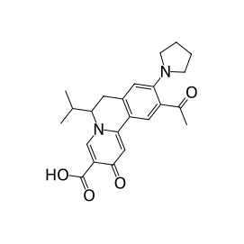 CC(=O)c1cc2c(cc1N1CCCC1)CC(C(C)C)n1cc(C(=O)O)c(=O)cc1-2